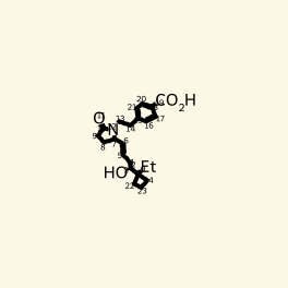 CCC1([C@@H](O)C/C=C/C2CCC(=O)N2CCc2ccc(C(=O)O)cc2)CCC1